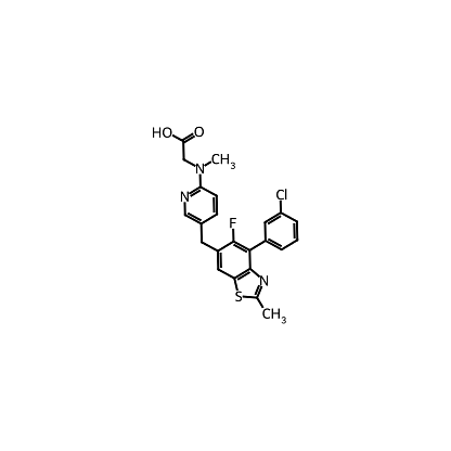 Cc1nc2c(-c3cccc(Cl)c3)c(F)c(Cc3ccc(N(C)CC(=O)O)nc3)cc2s1